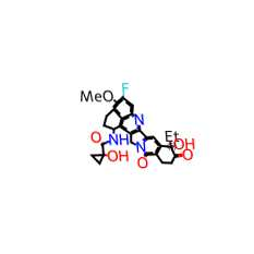 CC[C@@]1(O)C(=O)CCc2c1cc1n(c2=O)Cc2c-1nc1cc(F)c(OC)c3c1c2C(NC(=O)C1(O)CC1)CC3